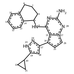 Nc1nc(NC2CCCc3ccccc32)c2c(-c3cc(C4CC4)[nH]n3)ccn2n1